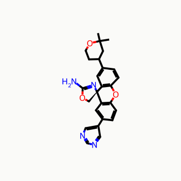 CC1(C)CC(c2ccc3c(c2)[C@]2(COC(N)=N2)c2cc(-c4cncnc4)ccc2O3)CCO1